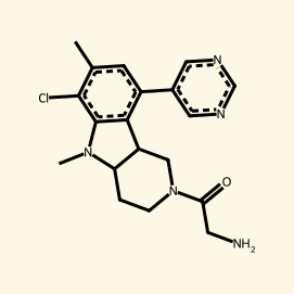 Cc1cc(-c2cncnc2)c2c(c1Cl)N(C)C1CCN(C(=O)CN)CC21